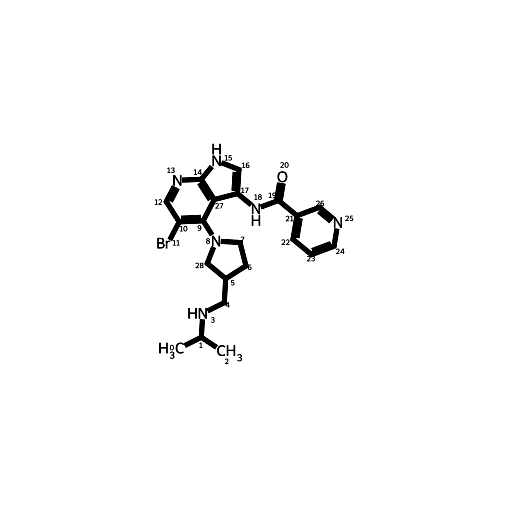 CC(C)NCC1CCN(c2c(Br)cnc3[nH]cc(NC(=O)c4cccnc4)c23)C1